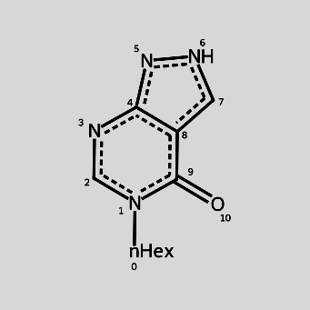 CCCCCCn1cnc2n[nH]cc2c1=O